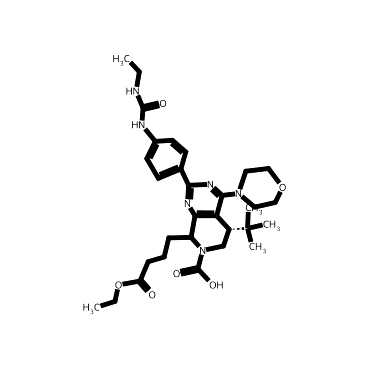 CCNC(=O)Nc1ccc(-c2nc3c(c(N4CCOCC4)n2)[C@H](C(C)(C)C)CN(C(=O)O)C3CCCC(=O)OCC)cc1